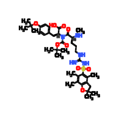 CN[C@@H](CCCNC(=N)NS(=O)(=O)c1c(C)c(C)c2c(c1C)CC(C)(C)O2)C(=O)N(C(=O)OC(C)(C)C)[C@@H](Cc1ccc(OC(C)(C)C)cc1)C(=O)O